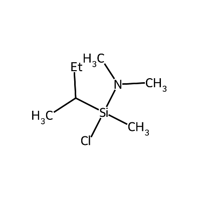 CCC(C)[Si](C)(Cl)N(C)C